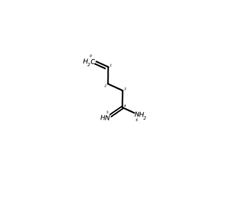 C=CCCC(=N)N